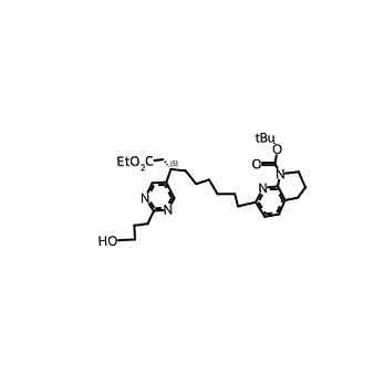 CCOC(=O)C[C@H](CCCCCCc1ccc2c(n1)N(C(=O)OC(C)(C)C)CCC2)c1cnc(CCCO)nc1